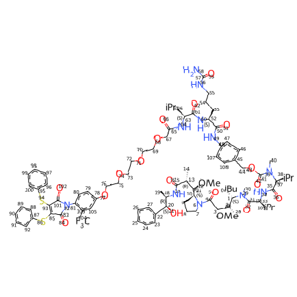 CCC(C)[C@@H]([C@@H](CC(=O)N1CCC[C@H]1[C@H](OC)[C@@H](C)C(=O)N[C@H](C)[C@@H](O)c1ccccc1)OC)N(C)C(=O)[C@@H](NC(=O)[C@H](C(C)C)N(C)C(=O)OCc1ccc(NC(=O)[C@H](CCCNC(N)=O)NC(=O)[C@@H](NC(=O)COCCOCCOCCOc2ccc(N3C(=O)C(Sc4ccccc4)=C(Sc4ccccc4)C3=O)c(C(F)(F)F)c2)C(C)C)cc1)C(C)C